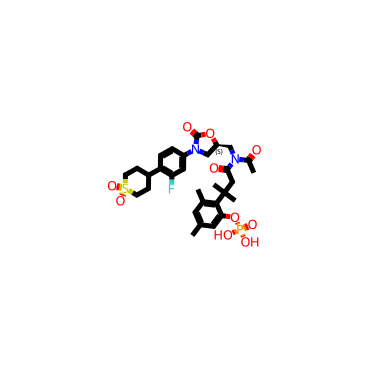 CC(=O)N(C[C@H]1CN(c2ccc(C3CCS(=O)(=O)CC3)c(F)c2)C(=O)O1)C(=O)CC(C)(C)c1c(C)cc(C)cc1OP(=O)(O)O